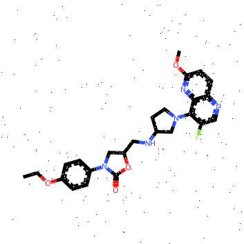 CCOc1ccc(N2CC(CNC3CCN(c4c(F)cnc5ccc(OC)nc45)C3)OC2=O)cc1